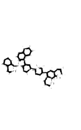 c1ccc2c(-n3c4ccc(-c5ccc(-c6cc7cccnc7c7ncccc67)cn5)cc4c4c5ccccc5ccc43)nccc2c1